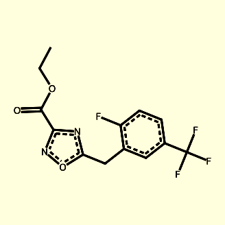 CCOC(=O)c1noc(Cc2cc(C(F)(F)F)ccc2F)n1